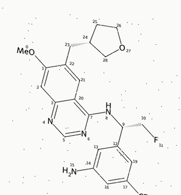 COc1cc2ncnc(N[C@H](CF)c3cc(N)cc(C(F)(F)F)c3)c2cc1C[C@@H]1CCOC1